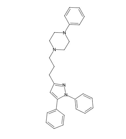 c1ccc(-c2cc(CCCN3CCN(c4ccccc4)CC3)nn2-c2ccccc2)cc1